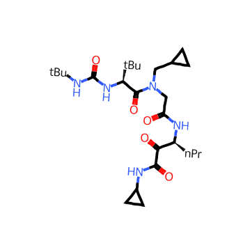 CCC[C@H](NC(=O)CN(CC1CC1)C(=O)[C@@H](NC(=O)NC(C)(C)C)C(C)(C)C)C(=O)C(=O)NC1CC1